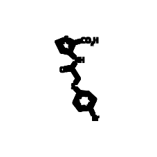 O=C(CSc1ccc(Br)cc1)Nc1ccsc1C(=O)O